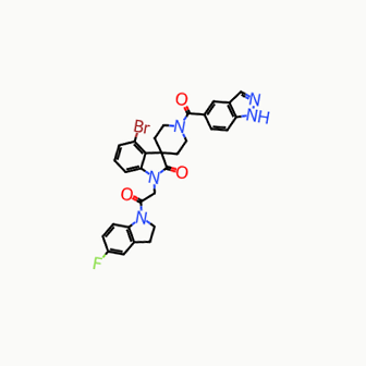 O=C(c1ccc2[nH]ncc2c1)N1CCC2(CC1)C(=O)N(CC(=O)N1CCc3cc(F)ccc31)c1cccc(Br)c12